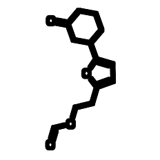 O=COCCc1ccc(C2CCCC(=O)C2)o1